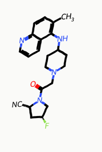 Cc1ccc2ncccc2c1NC1CCN(CC(=O)N2C[C@@H](F)CC2C#N)CC1